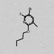 CCCCOc1nc(F)c(Br)cc1C